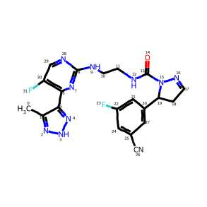 Cc1n[nH]nc1-c1nc(NCCNC(=O)N2N=CCC2c2cc(F)cc(C#N)c2)ncc1F